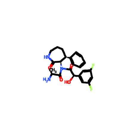 C[C@H](N)C(=O)N(C(=O)[C@H](O)c1cc(F)cc(F)c1)[C@@H]1C(=O)NCCC[C@@H]1c1ccccc1